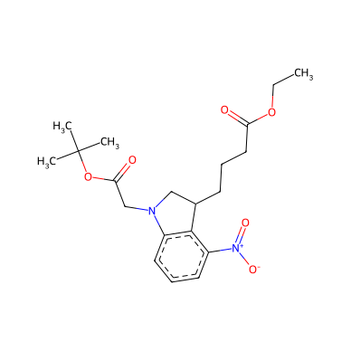 CCOC(=O)CCCC1CN(CC(=O)OC(C)(C)C)c2cccc([N+](=O)[O-])c21